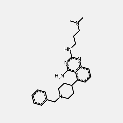 CN(C)CCCNc1nc(N)c2c(C3CCN(Cc4ccccc4)CC3)cccc2n1